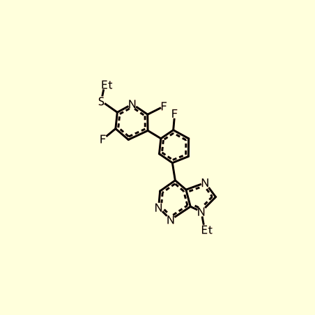 CCSc1nc(F)c(-c2cc(-c3cnnc4c3ncn4CC)ccc2F)cc1F